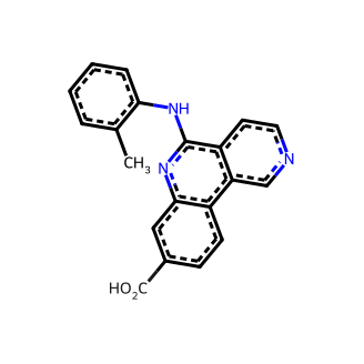 Cc1ccccc1Nc1nc2cc(C(=O)O)ccc2c2cnccc12